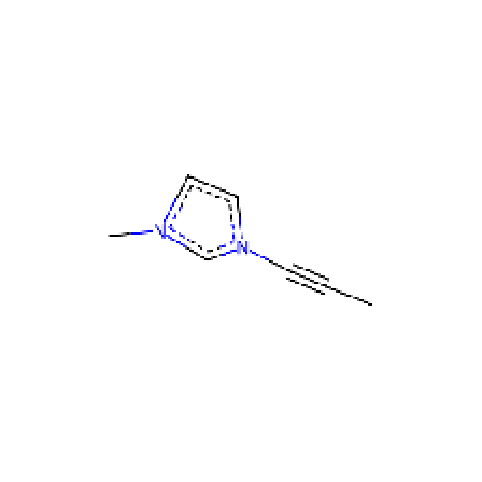 CC#Cn1cc[n+](C)c1